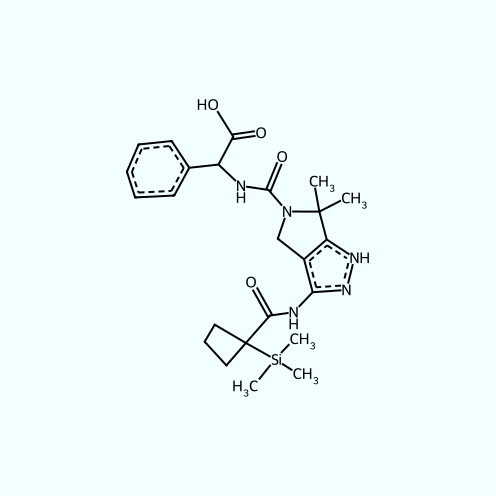 CC1(C)c2[nH]nc(NC(=O)C3([Si](C)(C)C)CCC3)c2CN1C(=O)NC(C(=O)O)c1ccccc1